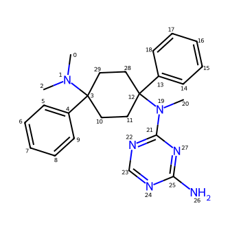 CN(C)C1(c2ccccc2)CCC(c2ccccc2)(N(C)c2ncnc(N)n2)CC1